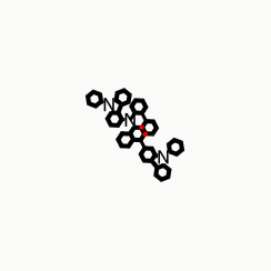 c1ccc(-c2ccccc2N(c2ccc(-c3ccc4c5ccccc5n(-c5ccccc5)c4c3)c3ccccc23)c2cccc3c2c2ccccc2n3-c2ccccc2)cc1